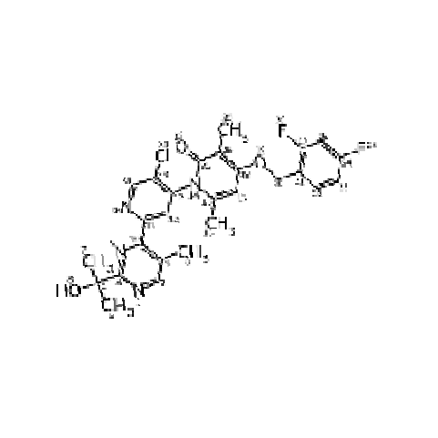 Cc1cnc(C(C)(C)O)nc1-c1cc(-n2c(C)cc(OCc3ccc(F)cc3F)c(C)c2=O)c(Cl)cn1